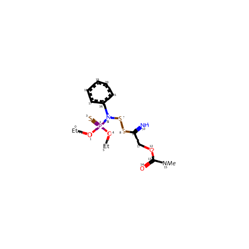 CCOP(=S)(OCC)N(SSC(=N)COC(=O)NC)c1ccccc1